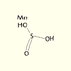 O=S(O)O.[Mn]